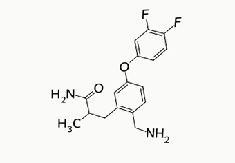 CC(Cc1cc(Oc2ccc(F)c(F)c2)ccc1CN)C(N)=O